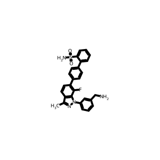 Cc1nn(-c2cccc(CN)c2)c2c(F)c(-c3ccc(-c4ccccc4S(N)(=O)=O)cc3)ccc12